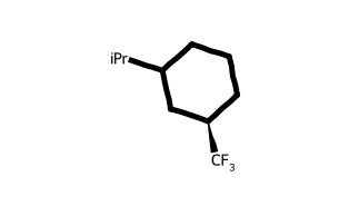 CC(C)C1CCC[C@@H](C(F)(F)F)C1